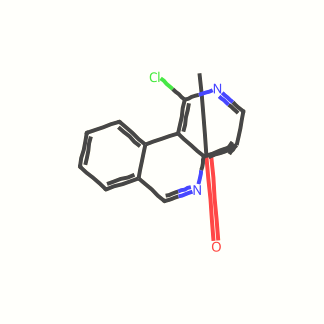 O=C1CC=C2C=NC(Cl)=C3c4ccccc4C=NC23C1